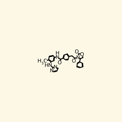 Cc1ccc(NC(=O)c2ccc(CC(=O)N3C(=O)OCC3c3ccccc3)cc2)cc1Nc1ncccn1